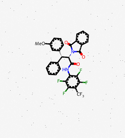 COc1cccc([C@@H](c2ccccc2)[C@@H](C(=O)Nc2c(F)c(F)c(C(F)(F)F)c(F)c2F)N2C(=O)c3ccccc3C2=O)c1